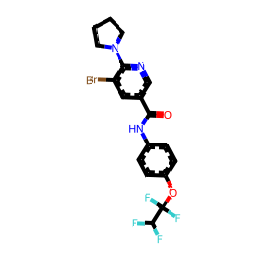 O=C(Nc1ccc(OC(F)(F)C(F)F)cc1)c1cnc(N2CCCC2)c(Br)c1